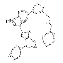 c1ccc(CNCc2cncc(-c3ccc4[nH]nc(-c5nc6c(-c7ccncc7)cccc6[nH]5)c4c3)c2)cc1